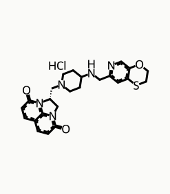 Cl.O=c1ccc2ccc(=O)n3c2n1C[C@H]3CN1CCC(NCc2cc3c(cn2)OCCS3)CC1